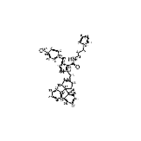 O=C(NCCCn1ccnc1)c1c(CN2CCC(c3ccccc3)(c3ccccc3)CC2)ncn1Cc1ccc(Cl)cc1